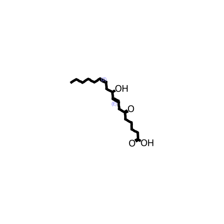 CCCCC/C=C\CC(O)/C=C/CC(=O)CCCCC(=O)O